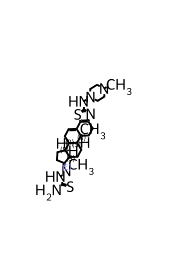 CN1CCN(Nc2nc3c(s2)C2=CC[C@@H]4[C@H](CC[C@]5(C)/C(=N/NC(N)=S)CC[C@@H]45)[C@@]2(C)CC3)CC1